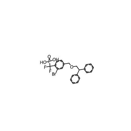 O=P(O)(O)C(F)(F)c1ccc(COCC(c2ccccc2)c2ccccc2)cc1Br